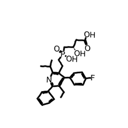 CCc1c(-c2ccccc2)nc(C(C)C)c(CCP(=O)(O)C[C@@H](O)CC(=O)O)c1-c1ccc(F)cc1